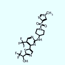 Cn1cnc(S(=O)(=O)N2CCC(Nc3ncc(C(F)(F)F)c(-c4cnc(C(O)C(F)(F)F)s4)n3)CC2)c1